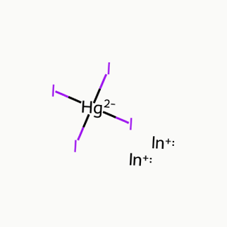 [I][Hg-2]([I])([I])[I].[In+].[In+]